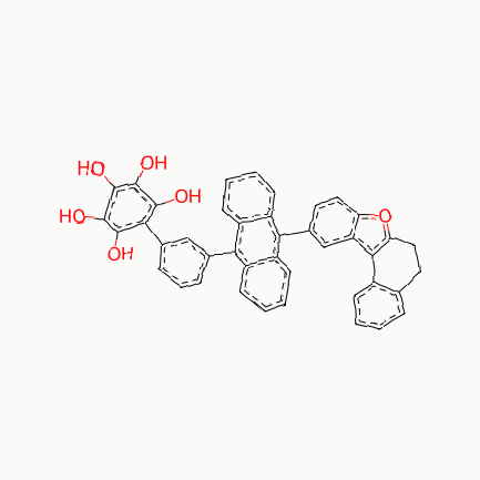 Oc1c(O)c(O)c(-c2cccc(-c3c4ccccc4c(-c4ccc5oc6c(c5c4)-c4ccccc4CC6)c4ccccc34)c2)c(O)c1O